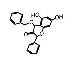 O=C1C(c2ccccc2)Oc2cc(O)cc(O)c2C1OCc1ccccc1